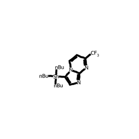 CCC[CH2][Sn]([CH2]CCC)([CH2]CCC)[c]1cnc2nc(C(F)(F)F)ccn12